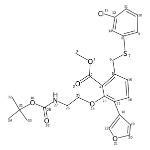 COC(=O)c1c(CSc2cccc(Cl)c2)ccc(-c2ccoc2)c1OCCNC(=O)OC(C)(C)C